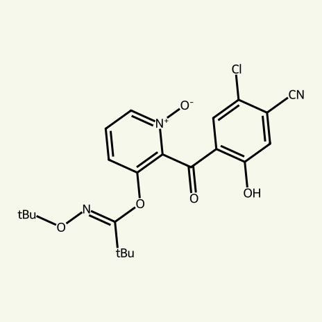 CC(C)(C)ON=C(Oc1ccc[n+]([O-])c1C(=O)c1cc(Cl)c(C#N)cc1O)C(C)(C)C